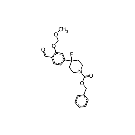 COCOc1cc(C2(F)CCN(C(=O)OCc3ccccc3)CC2)ccc1C=O